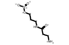 NCCC(=O)NCCCO[N+](=O)[O-]